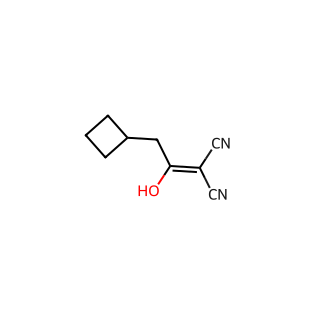 N#CC(C#N)=C(O)CC1CCC1